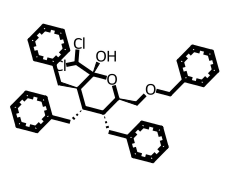 O[C@@]1(C(Cl)Cl)O[C@@H](COCc2ccccc2)[C@H](Cc2ccccc2)[C@H](Cc2ccccc2)[C@H]1Cc1ccccc1